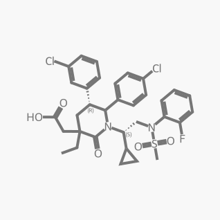 CCC1(CC(=O)O)C[C@H](c2cccc(Cl)c2)C(c2ccc(Cl)cc2)N([C@H](CN(c2ccccc2F)S(C)(=O)=O)C2CC2)C1=O